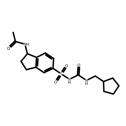 CC(=O)NC1CCc2cc(S(=O)(=O)NC(=O)NCC3CCCC3)ccc21